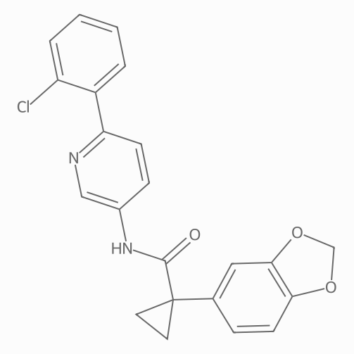 O=C(Nc1ccc(-c2ccccc2Cl)nc1)C1(c2ccc3c(c2)OCO3)CC1